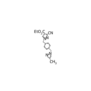 CCOC(=O)c1cn(Cc2ccc(Cn3cc(C)cn3)cc2)nc1C#N